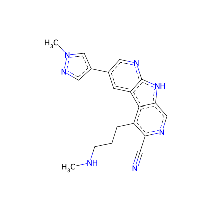 CNCCCc1c(C#N)ncc2[nH]c3ncc(-c4cnn(C)c4)cc3c12